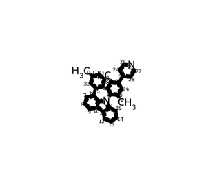 Cc1cccc(-c2cccc3c4ccccc4n(-c4cc(C#N)c(-c5ccncc5)cc4C)c23)c1